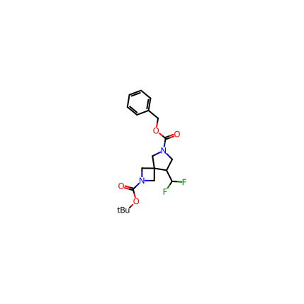 CC(C)(C)OC(=O)N1CC2(CN(C(=O)OCc3ccccc3)CC2C(F)F)C1